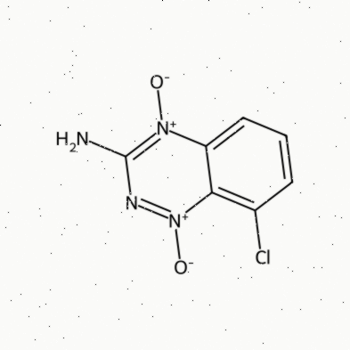 Nc1n[n+]([O-])c2c(Cl)cccc2[n+]1[O-]